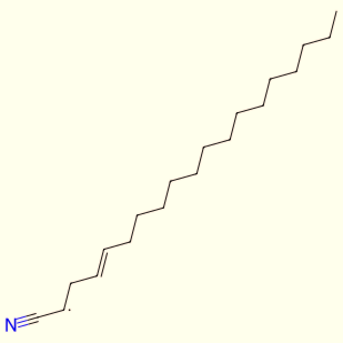 CCCCCCCCCCCCCCC=CC[CH]C#N